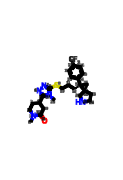 CN1CCC(c2nnc(SCCC[C@]3(c4ccc(C(F)(F)F)cc4)C[C@]34CCNC4)n2C)CC1=O